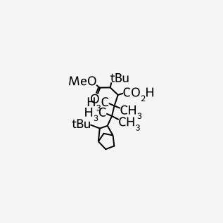 COC(=O)C(C(C(=O)O)C(C)(C)C(C)(C)C1C2CCC(C2)C1C(C)(C)C)C(C)(C)C